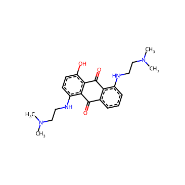 CN(C)CCNc1cccc2c1C(=O)c1c(O)ccc(NCCN(C)C)c1C2=O